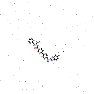 Cc1ccc2nc(Nc3ccc(-c4ccc(C(=O)CC(Cc5ccccc5)C(=O)O)cc4)cc3)sc2c1